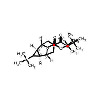 CC(C)(C)OC(=O)N1C[C@@H]2[C@H]3C([Si](C)(C)C)[C@H]3[C@H](C1)N2C(=O)OC(C)(C)C